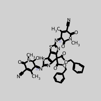 CC1=C(C#N)C(=O)N(C)C(=O)/C1=N\c1nc2c(s1)-c1sc(/N=C3/C(C)=C(C#N)C(=O)N(C)C3O)nc1C2(C(=O)OCc1ccccc1)C(=O)OCc1ccccc1